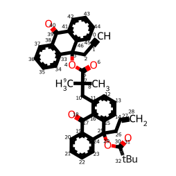 C#CCC1(OC(=O)C(C)(C)Cc2cccc3c2C(=O)c2ccccc2C3(CC=C)OC(=O)C(C)(C)C)c2ccccc2C(=O)c2ccccc21